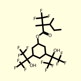 CCC(C)C(C)(C(=O)OC1CC(C(O)(C(F)(F)F)C(F)(F)F)CC(C(O)(C(F)(F)F)C(F)(F)F)C1)C(F)(F)F